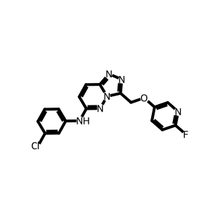 Fc1ccc(OCc2nnc3ccc(Nc4cccc(Cl)c4)nn23)cn1